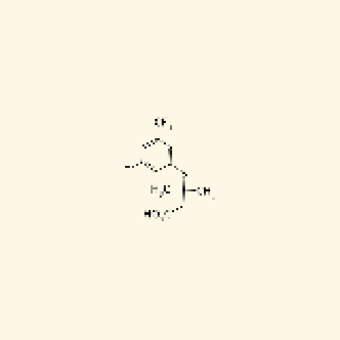 CC(C)(CC(=O)O)Sc1cc(F)cc(C(F)(F)F)c1